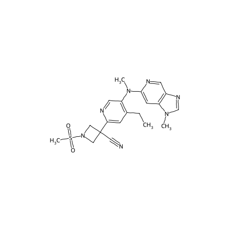 CCc1cc(C2(C#N)CN(S(C)(=O)=O)C2)ncc1N(C)c1cc2c(cn1)ncn2C